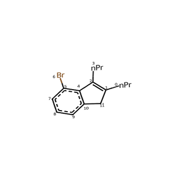 CCCC1=C(CCC)c2c(Br)cccc2[CH]1